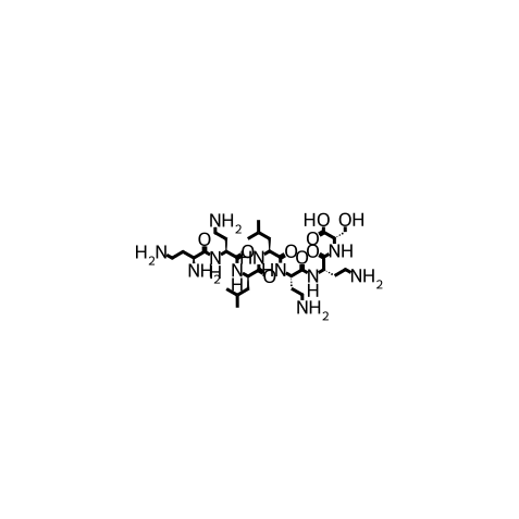 CC(C)C[C@H](NC(=O)[C@@H](CC(C)C)NC(=O)[C@H](CCN)NC(=O)[C@@H](N)CCN)C(=O)N[C@@H](CCN)C(=O)N[C@@H](CCN)C(=O)N[C@@H](CO)C(=O)O